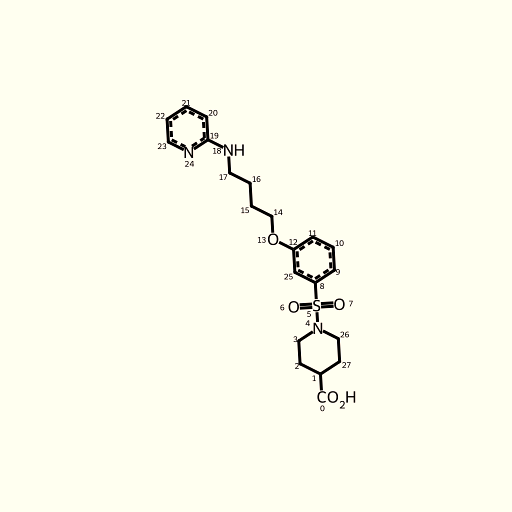 O=C(O)C1CCN(S(=O)(=O)c2cccc(OCCCCNc3ccccn3)c2)CC1